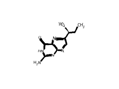 CC[C@H](O)c1cnc2nc(N)[nH]c(=O)c2n1